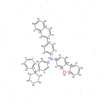 c1ccc(C2(c3ccc(N(c4ccc(-c5ccc6ccccc6c5)cc4)c4ccc5c(c4)oc4ccccc45)cc3)CCCCC2)cc1